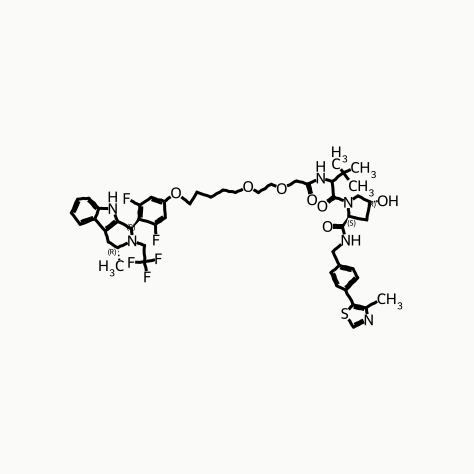 Cc1ncsc1-c1ccc(CNC(=O)[C@@H]2C[C@@H](O)CN2C(=O)C(NC(=O)COCCOCCCCCOc2cc(F)c([C@@H]3c4[nH]c5ccccc5c4C[C@@H](C)N3CC(F)(F)F)c(F)c2)C(C)(C)C)cc1